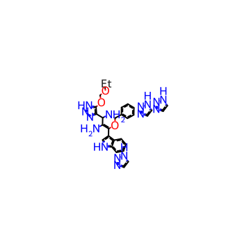 CCOCOc1[nH]nnc1C(N)C(N)=C(OCc1ccccc1)c1c[nH]c2ccccc12.c1c[nH]nn1.c1c[nH]nn1.c1c[nH]nn1